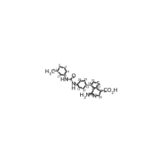 Cc1cccc(NC(=O)Nc2ccc(-c3csc4c(C(=O)O)cnc(N)c34)cc2)c1